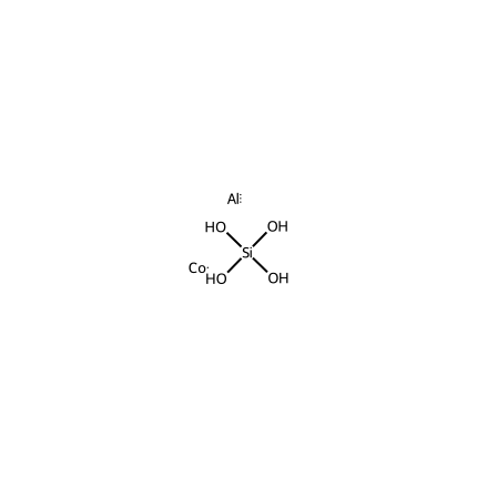 O[Si](O)(O)O.[Al].[Co]